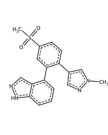 Cn1cc(-c2ccc(S(C)(=O)=O)cc2-c2cccc3[nH]ncc23)cn1